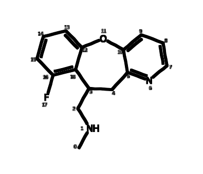 CNCC1Cc2ncccc2Oc2cccc(F)c21